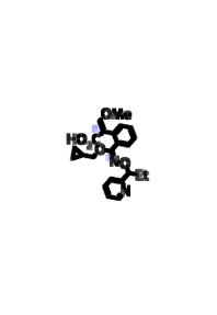 CCC(O/N=C(/OCC1CC1)c1ccccc1/C(=C\OC)C(=O)O)c1ccccn1